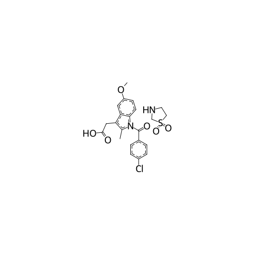 COc1ccc2c(c1)c(CC(=O)O)c(C)n2C(=O)c1ccc(Cl)cc1.O=S1(=O)CCNC1